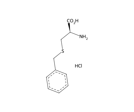 Cl.N[C@@H](CSCc1ccccc1)C(=O)O